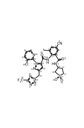 Cc1cc(C#N)cc(C(=O)NC2CCS(=O)(=O)C2)c1NC(=O)c1cc(Cn2nnc(C(F)(F)F)n2)nn1-c1ncccc1Cl